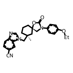 CCOc1ccc(N2C[C@@]3(CCC[C@](C)(Cn4cnc5ccc(C#N)cc54)C3)OC2=O)cc1